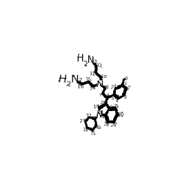 Cc1cccc(C(CCN(CCCN)CCCN)c2cn(C3CCCCC3)c3ccccc23)c1